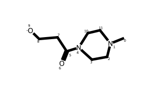 CN1CCN(C(=O)CC[O])CC1